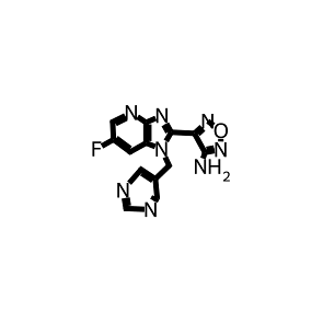 Nc1nonc1-c1nc2ncc(F)cc2n1Cc1cncnc1